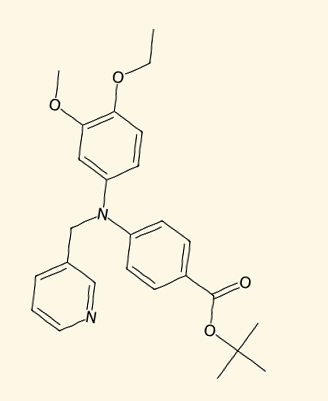 CCOc1ccc(N(Cc2cccnc2)c2ccc(C(=O)OC(C)(C)C)cc2)cc1OC